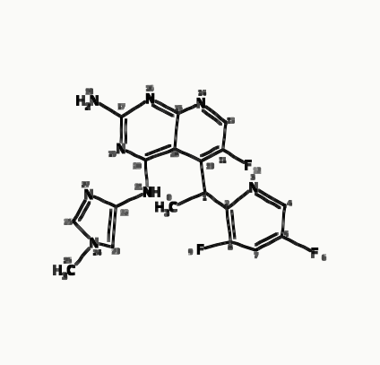 CC(c1ncc(F)cc1F)c1c(F)cnc2nc(N)nc(Nc3cn(C)cn3)c12